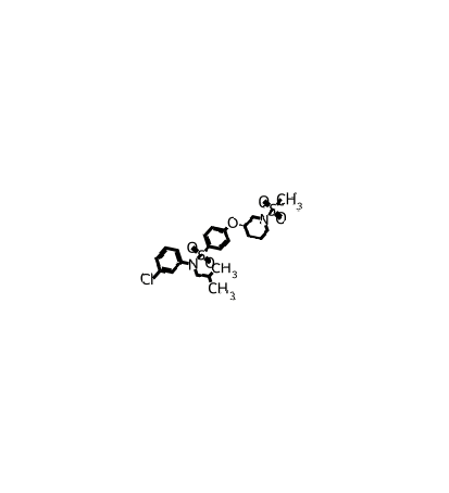 CC(C)CN(c1cccc(Cl)c1)S(=O)(=O)c1ccc(O[C@H]2CCCN(S(C)(=O)=O)C2)cc1